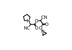 N#CC(OC(=O)C(C#N)N1CCCC1)C(=O)ON1CC1